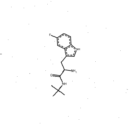 CC(C)(C)NC(=O)C(N)Cc1c[nH]c2ccc(F)cc12